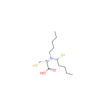 CCCCCN(C(S)CCCC)[C@@H](CS)C(=O)O